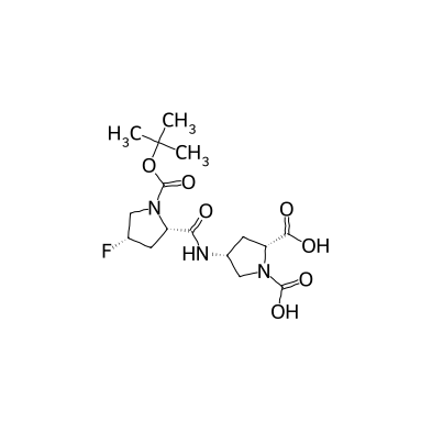 CC(C)(C)OC(=O)N1C[C@@H](F)C[C@H]1C(=O)N[C@@H]1C[C@H](C(=O)O)N(C(=O)O)C1